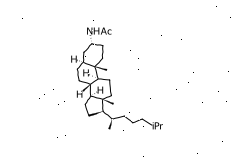 CC(=O)N[C@@H]1CC[C@@]2(C)[C@@H](CC[C@@H]3[C@@H]2CC[C@]2(C)[C@@H]([C@H](C)CCCC(C)C)CC[C@@H]32)C1